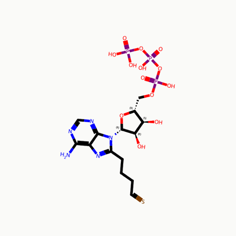 Nc1ncnc2c1nc(CCCC=S)n2[C@@H]1O[C@H](COP(=O)(O)OP(=O)(O)OP(=O)(O)O)[C@@H](O)[C@H]1O